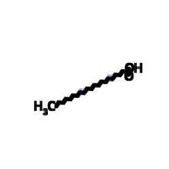 CCCCCCCC/C=C/CCCCCC/C=C/CCCC(=O)O